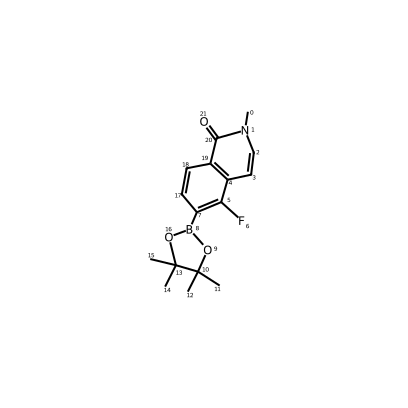 Cn1ccc2c(F)c(B3OC(C)(C)C(C)(C)O3)ccc2c1=O